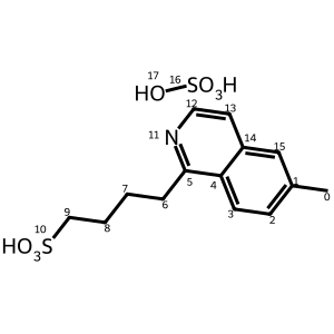 Cc1ccc2c(CCCCS(=O)(=O)O)nccc2c1.O=S(=O)(O)O